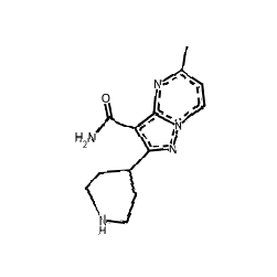 Cc1ccn2nc(C3CCNCC3)c(C(N)=O)c2n1